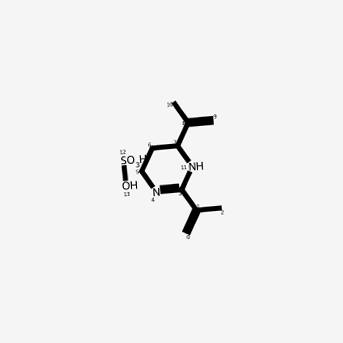 C=C(C)C1=NCCC(C(=C)C)N1.O=S(=O)(O)O